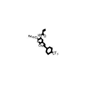 C=CC(=O)Nc1cc(/C=C/C2CCC(C(F)(F)F)CC2)c(OC)nc1OC